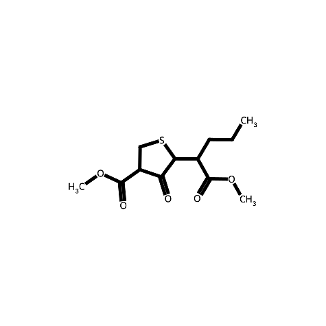 CCCC(C(=O)OC)C1SCC(C(=O)OC)C1=O